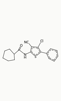 N#Cc1c(NC(=O)C2CCCCC2)sc(-c2ccccc2)c1Cl